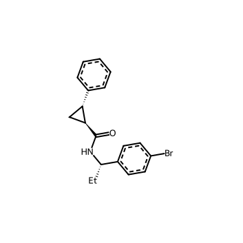 CC[C@H](NC(=O)[C@H]1C[C@@H]1c1ccccc1)c1ccc(Br)cc1